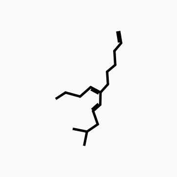 C=CCCCCC(C=CCC(C)C)=CCCC